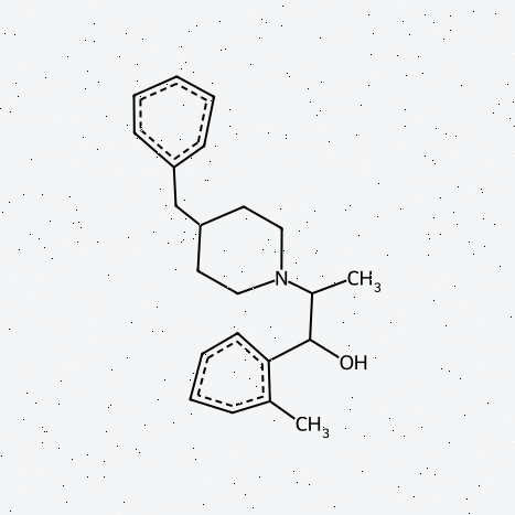 Cc1ccccc1C(O)C(C)N1CCC(Cc2ccccc2)CC1